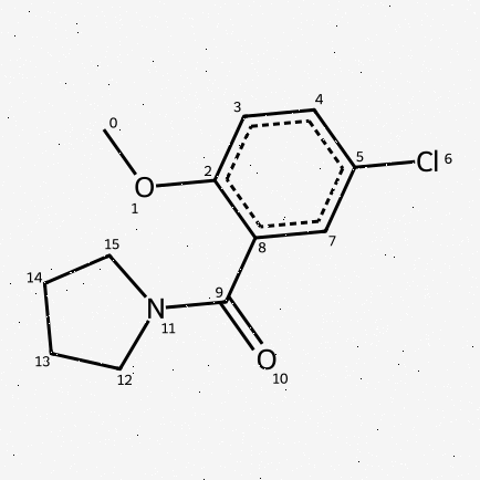 COc1ccc(Cl)cc1C(=O)N1CCCC1